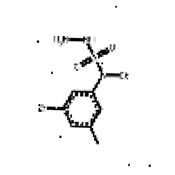 CCN(c1cc(C)cc(Br)c1)S(=O)(=O)NN